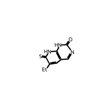 CCc1cc2cnc(=O)[nH]c2[nH]c1=S